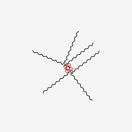 CCCCCCCCCCCCCC[Si](CCCCCCCCCCCCCC)(CCCCCCCCCCCCCC)[O][Cr](=[O])(=[O])[O][Si](CCCCCCCCCCCCCC)(CCCCCCCCCCCCCC)CCCCCCCCCCCCCC